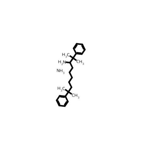 CC(C)(CCCCCC(N)C(C)(C)c1ccccc1)c1ccccc1.N